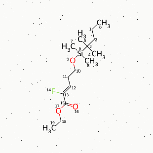 CCCC(C)(C)[Si](C)(C)OCC/C=C(\F)C(=O)OCC